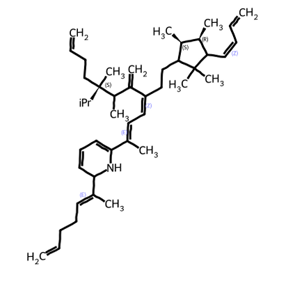 C=C/C=C\C1[C@H](C)[C@H](C)C(CC/C(=C/C=C(\C)C2=CC=CC(/C(C)=C/CCC=C)N2)C(=C)C(C)[C@@](C)(CCC=C)C(C)C)C1(C)C